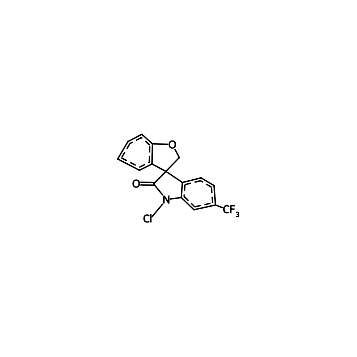 O=C1N(Cl)c2cc(C(F)(F)F)ccc2C12COc1ccccc12